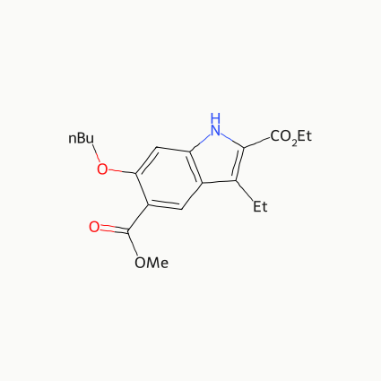 CCCCOc1cc2[nH]c(C(=O)OCC)c(CC)c2cc1C(=O)OC